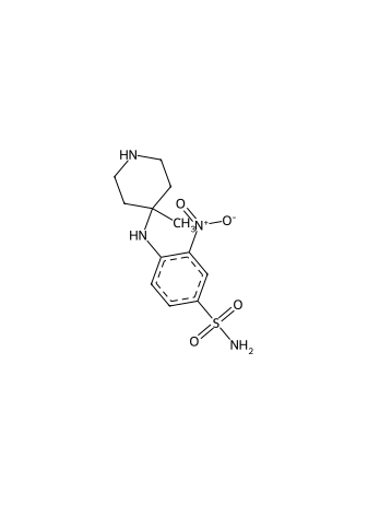 CC1(Nc2ccc(S(N)(=O)=O)cc2[N+](=O)[O-])CCNCC1